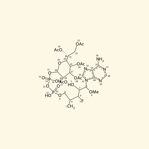 COC(C(O)C(F)C(C)COP(=O)(O)OP(=O)(O)OC1OC([C@@H](COC(C)=O)OC(C)=O)C(OC(C)=O)C(OC(C)=O)C1OC(C)=O)n1cnc2c(N)ncnc21